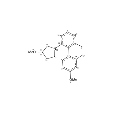 COc1ccc(-c2c(C)ncnc2N2CC[C@H](OC)C2)c(C)c1